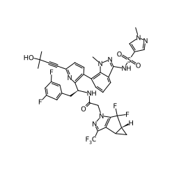 Cn1cc(S(=O)(=O)Nc2nn(C)c3c(-c4ccc(C#CC(C)(C)O)nc4[C@H](Cc4cc(F)cc(F)c4)NC(=O)Cn4nc(C(F)(F)F)c5c4C(F)(F)[C@@H]4CC54)cccc23)cn1